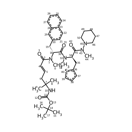 CN(C(=O)/C=C/CC(C)(C)NC(=O)OC(C)(C)C)[C@H](Cc1ccc2ccccc2c1)C(=O)N(C)[C@H](Cc1cccs1)C(=O)N(C)N1CCCCC1